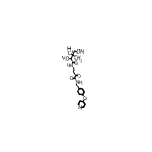 CC(C)(CO)C(O)C(=O)NCCC(=O)C(=O)NCc1ccc(Oc2ccncc2)cc1